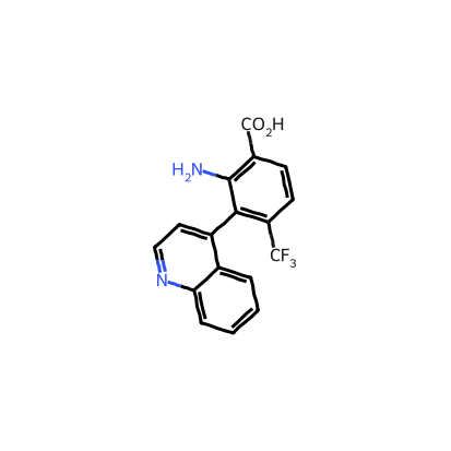 Nc1c(C(=O)O)ccc(C(F)(F)F)c1-c1ccnc2ccccc12